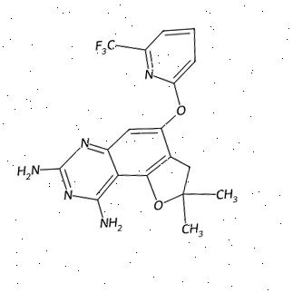 CC1(C)Cc2c(Oc3cccc(C(F)(F)F)n3)cc3nc(N)nc(N)c3c2O1